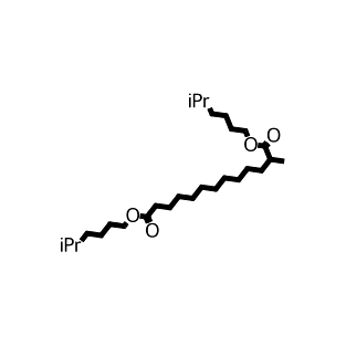 CC(C)CCCCOC(=O)CCCCCCCCCCC(C)C(=O)OCCCCC(C)C